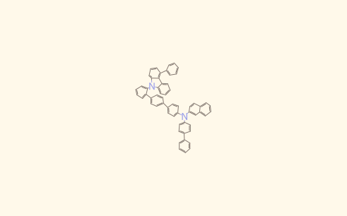 c1ccc(-c2ccc(N(c3ccc(-c4ccc(-c5ccccc5-n5c6ccccc6c6c(-c7ccccc7)cccc65)cc4)cc3)c3ccc4ccccc4c3)cc2)cc1